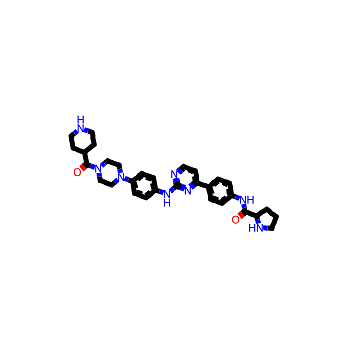 O=C(Nc1ccc(-c2ccnc(Nc3ccc(N4CCN(C(=O)C5CCNCC5)CC4)cc3)n2)cc1)C1CCCN1